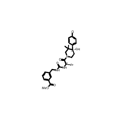 COC(=O)c1cccc(CNC(=O)N[C@@H](C(=O)N2CC[C@](O)(c3ccc(Cl)cc3)C(C)(C)C2)C(C)C)c1